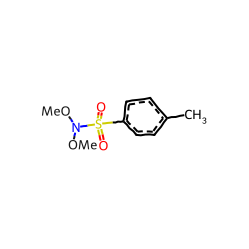 CON(OC)S(=O)(=O)c1ccc(C)cc1